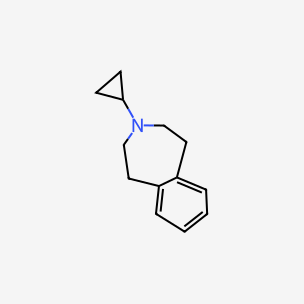 c1ccc2c(c1)CCN(C1CC1)CC2